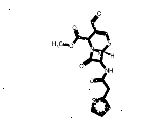 COC(=O)C1C(C=O)=CS[C@@H]2C(NC(=O)Cc3cccs3)C(=O)N12